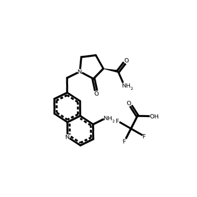 NC(=O)[C@@H]1CCN(Cc2ccc3nccc(N)c3c2)C1=O.O=C(O)C(F)(F)F